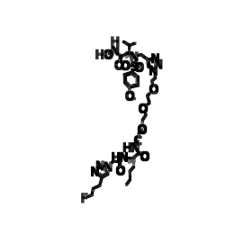 CCCC[C@H](NC(=O)Cn1cc(CCCF)nn1)C(=O)NCCOCCOCCOCCn1cc(CN([C@@H](C(=O)NO)C(C)C)S(=O)(=O)c2ccc(OC)cc2)nn1